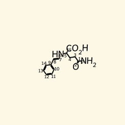 NC(=O)CCC(NC=Cc1ccccc1)C(=O)O